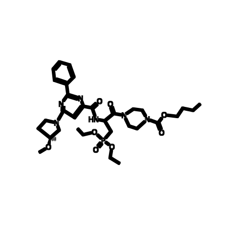 CCCCOC(=O)N1CCN(C(=O)C(CP(=O)(OCC)OCC)NC(=O)c2cc(N3CC[C@H](OC)C3)nc(-c3ccccc3)n2)CC1